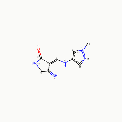 Cn1cc(N/C=C2\C(=N)CNC2=O)cn1